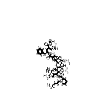 CCCCN1CCCC[C@@H]1C(=O)N[C@H](C(=O)N(C)[C@H](C[C@@H](OC(C)=O)c1nc(C(=O)N[C@@H](Cc2ccccc2)CC(CO)C(=O)OC)cs1)C(C)C)[C@@H](C)CC